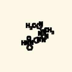 Cc1cncc(-c2nc3c(N4CCC(n5c(=O)[nH]c6ccccc65)CC4)ncnc3n2C)c1